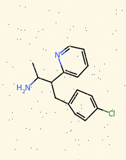 CC(N)C(Cc1ccc(Cl)cc1)c1ccccn1